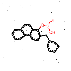 OB(O)Oc1c(Cc2ccccc2)ccc2c1ccc1ccccc12